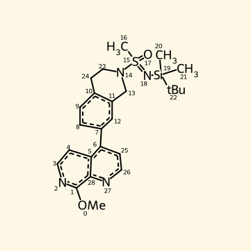 COc1nccc2c(-c3ccc4c(c3)CN(S(C)(=O)=N[Si](C)(C)C(C)(C)C)CC4)ccnc12